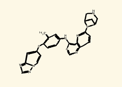 Cc1cc(Nc2ncnc3ccc(N4C5CNCC4C5)nc23)ccc1Oc1ccn2ncnc2c1